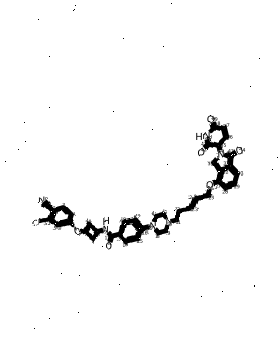 N#Cc1ccc(OC2CC(NC(=O)c3ccc(N4CCN(CCCCCOc5cccc6c5CN(C5CCC(=O)NC5=O)C6=O)CC4)cc3)C2)cc1Cl